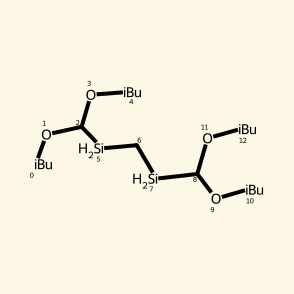 CCC(C)OC(OC(C)CC)[SiH2]C[SiH2]C(OC(C)CC)OC(C)CC